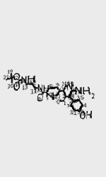 CCc1c(-c2ccc(C(=O)NCCCNC(=O)OC(C)(C)C)nc2)cnc(N)c1-c1ccc(O)cc1